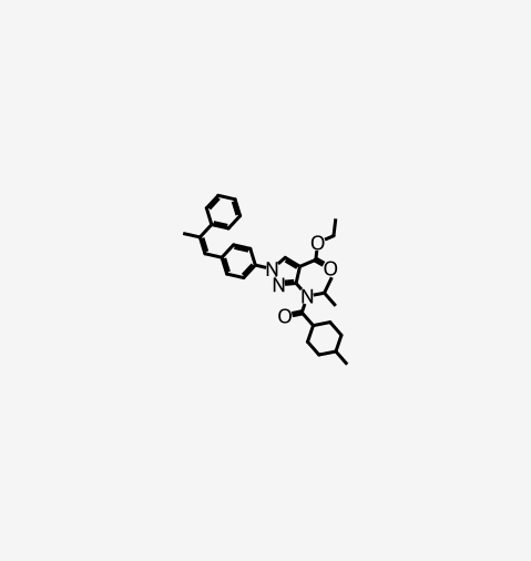 CCOC(=O)c1cn(-c2ccc(C=C(C)c3ccccc3)cc2)nc1N(C(=O)C1CCC(C)CC1)C(C)C